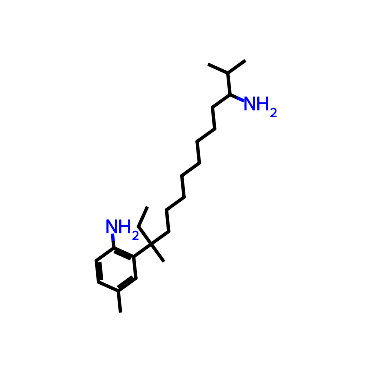 CCC(C)(CCCCCCCCC(N)C(C)C)c1cc(C)ccc1N